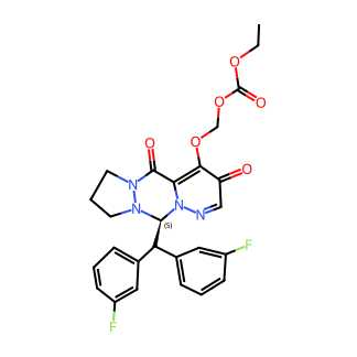 CCOC(=O)OCOc1c2n(ncc1=O)[C@@H](C(c1cccc(F)c1)c1cccc(F)c1)N1CCCN1C2=O